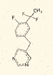 CC(F)(F)c1cc([CH]c2cncnc2)ccc1F